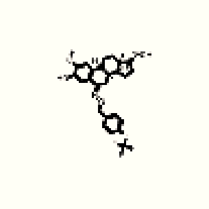 COc1cc2c(cc1O)C(=NOCc1ccc(OC(F)(F)F)cc1)C[C@@H]1[C@@H]2CC[C@]2(C)C(=NO)CC[C@@H]12